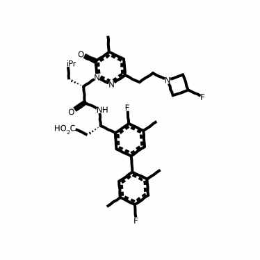 Cc1cc(-c2cc(C)c(F)c([C@H](CC(=O)O)NC(=O)[C@H](CC(C)C)n3nc(CCN4CC(F)C4)cc(C)c3=O)c2)c(C)cc1F